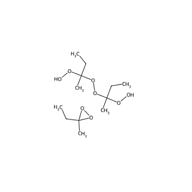 CCC(C)(OO)OOC(C)(CC)OO.CCC1(C)OO1